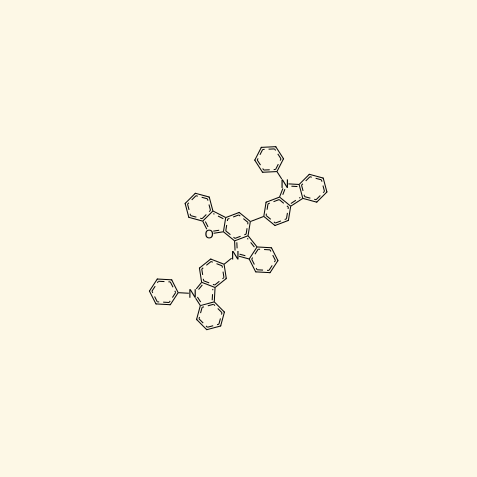 c1ccc(-n2c3ccccc3c3cc(-n4c5ccccc5c5c(-c6ccc7c8ccccc8n(-c8ccccc8)c7c6)cc6c7ccccc7oc6c54)ccc32)cc1